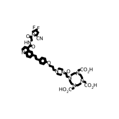 N#C[C@@H]1CC(F)(F)CN1C(=O)CNC(=O)c1ccnc2ccc(/C=C/c3ccc(OCCCN4CCN(C(=O)CN5CCN(CC(=O)O)CCN(CC(=O)O)CCN(CC(=O)O)CC5)CC4)cc3)cc12